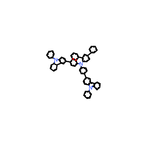 C1=CC2c3cc(-c4ccc(N(c5ccc(-c6ccc7c(c6)c6ccccc6n7-c6ccccc6)cc5)c5ccc(-c6ccccc6)cc5-c5ccccc5)cc4)ccc3N(c3ccccc3)C2C=C1